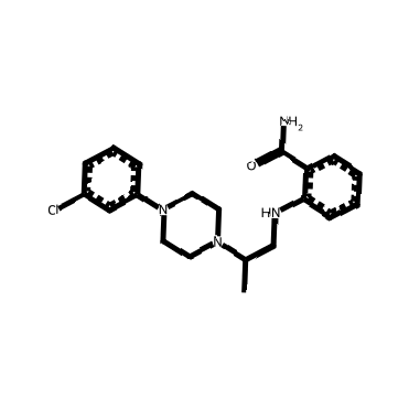 CC(CNc1ccccc1C(N)=O)N1CCN(c2cccc(Cl)c2)CC1